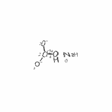 [NaH].[O-][Cl+2]([O-])O